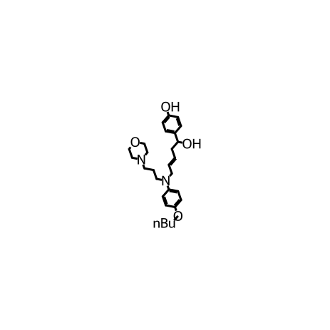 CCCCOc1ccc(N(CC=CCC(O)c2ccc(O)cc2)CCCN2CCOCC2)cc1